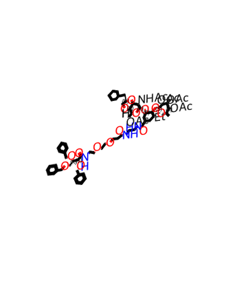 CCC1CC(C(=O)NCCNC(=O)CCOCCOCCNC(=O)[C@@H](OCc2ccccc2)[C@@H](COCc2ccccc2)OCc2ccccc2)C[C@@H](O[C@@H]2OC(COC(C)=O)[C@@H]3OC[C@@H](CC4CCCCC4)OC3C2NC(C)=O)C1O[C@@H]1OC(C)[C@@H](OC(C)=O)C(OC(C)=O)C1OC(C)=O